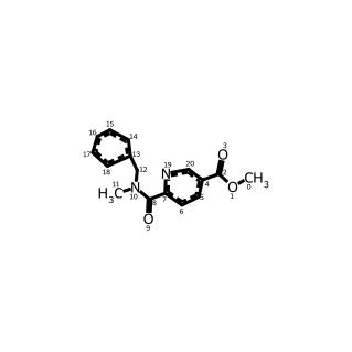 COC(=O)c1ccc(C(=O)N(C)Cc2ccccc2)nc1